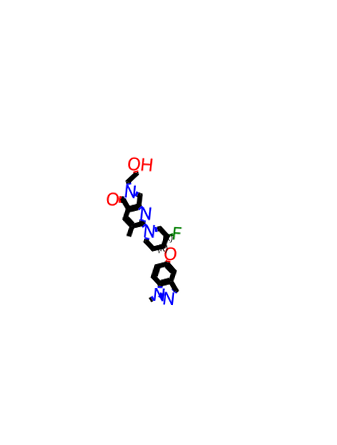 Cc1cc2c(nc1N1CC[C@@H](Oc3ccc4c(cnn4C)c3)[C@H](F)C1)CN(CCO)C2=O